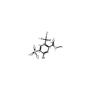 COC(=O)c1cc(Br)c(S(=O)(=O)Cl)cc1C(F)(F)F